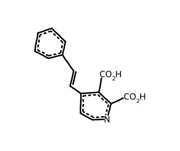 O=C(O)c1nccc(C=Cc2ccccc2)c1C(=O)O